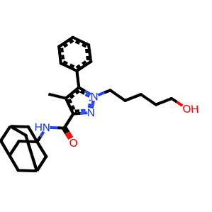 Cc1c(C(=O)NC23CC4CC(CC(C4)C2)C3)nn(CCCCCO)c1-c1ccccc1